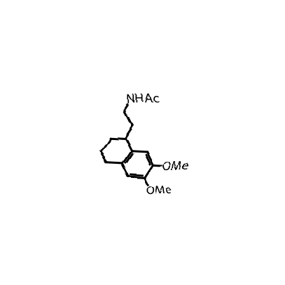 COc1cc2c(cc1OC)C(CCNC(C)=O)CCC2